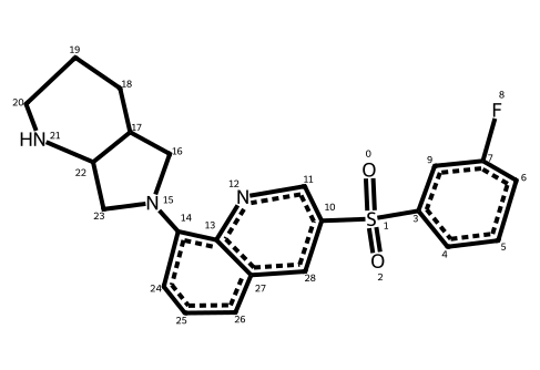 O=S(=O)(c1cccc(F)c1)c1cnc2c(N3CC4CCCNC4C3)cccc2c1